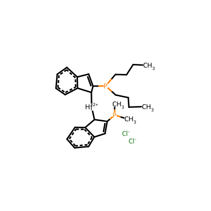 CCCCP(CCCC)C1=Cc2ccccc2[CH]1[Hf+2][CH]1C(P(C)C)=Cc2ccccc21.[Cl-].[Cl-]